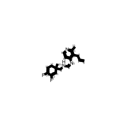 C=CCc1c(/N=C\NCC2(C)C=C(F)C(F)=CC2)ccnc1C